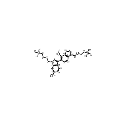 COc1c(-c2cn(COCC[Si](C)(C)C)c3nc(Cl)ccc23)ccc2c1cnn2COCC[Si](C)(C)C